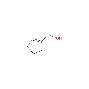 OCC1=CCCC1